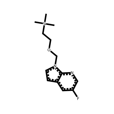 C[Si](C)(C)CCOCn1ccc2cc(F)cnc21